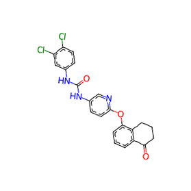 O=C(Nc1ccc(Oc2cccc3c2CCCC3=O)nc1)Nc1ccc(Cl)c(Cl)c1